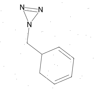 C1=CCC(CN2N=N2)C=C1